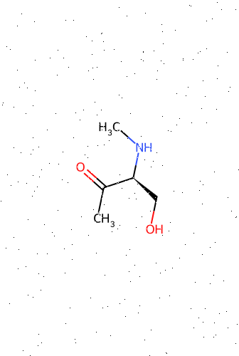 CN[C@@H](CO)C(C)=O